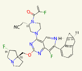 C=C(F)C(=O)N1CCN(c2nc(OC[C@@]34CCCN3C[C@H](F)C4)nc3c(F)c(-c4cccc5c4[C@H]4C[C@H]4C5)ncc23)C[C@@H]1CC#N